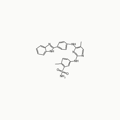 Cc1ccc(Nc2ncc(C)c(Nc3ccc(-c4nc5ccccc5[nH]4)cc3)n2)cc1S(N)(=O)=O